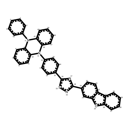 c1ccc(N2c3ccccc3N(c3ccc(-c4nc(-c5ccc6c(c5)oc5ccccc56)ns4)cc3)c3ccccc32)cc1